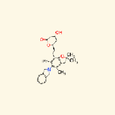 Cc1c2c(c(CC[C@@H]3C[C@@H](O)CC(=O)O3)c(C(C)C)c1N1Cc3ccccc3C1)OC(C)(C)C2